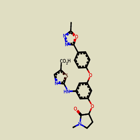 Cc1nnc(-c2ccc(Oc3cc(Nc4ncc(C(=O)O)s4)cc(OC4CCN(C)C4=O)c3)cc2)o1